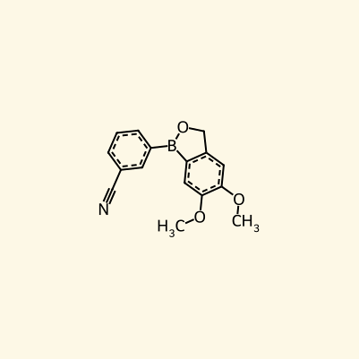 COc1cc2c(cc1OC)B(c1cccc(C#N)c1)OC2